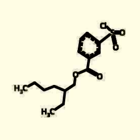 CCCCC(CC)COC(=O)c1cccc(S(=O)(=O)Cl)c1